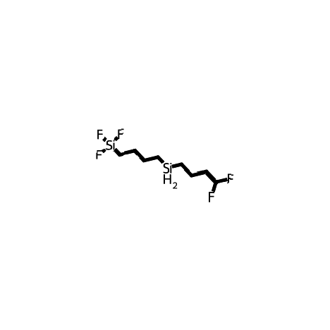 FC(F)CCC[SiH2]CCCC[Si](F)(F)F